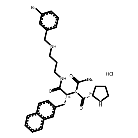 CC(C)(C)C(=O)N(C(=O)[C@@H]1CCCN1)[C@H](Cc1ccc2ccccc2c1)C(=O)NCCCNCc1cccc(Br)c1.Cl